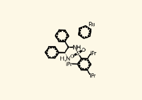 CC(C)c1cc(C(C)C)c(S(=O)(=O)N[C@H](c2ccccc2)[C@H](N)c2ccccc2)c(C(C)C)c1.[Ru].c1ccccc1